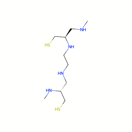 CNC[C@H](CS)NCCNC[C@H](CS)NC